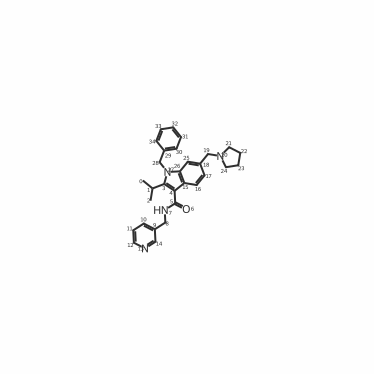 CC(C)c1c(C(=O)NCc2cccnc2)c2ccc(CN3CCCC3)cc2n1Cc1ccccc1